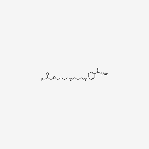 CSNc1ccc(OCCCOCCCCOCC(=O)C(C)C)cc1